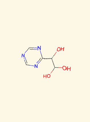 OC(O)C(O)c1ncncn1